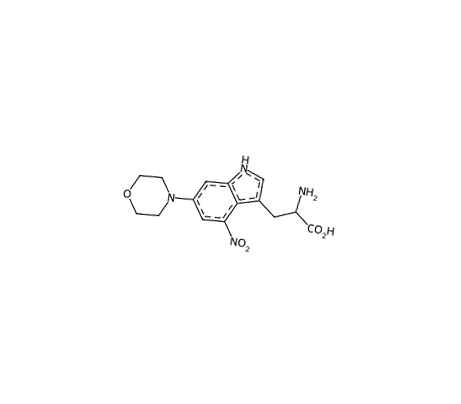 NC(Cc1c[nH]c2cc(N3CCOCC3)cc([N+](=O)[O-])c12)C(=O)O